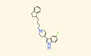 Fc1ccc2[nH]cc(C3=CCN(CCCCC4CCc5ccccc54)CC3)c2c1